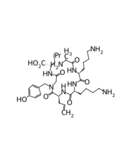 C=CC[C@H](NC(=O)[C@H](CCCCN)NC(=O)[C@H](CCCCN)NC(=O)[C@H](C)N)C(=O)N(CC(=O)N[C@@H](CC(C)C)C(=O)O)Cc1ccc(O)cc1